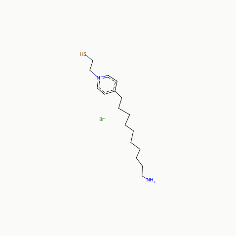 NCCCCCCCCCCc1cc[n+](CCS)cc1.[Br-]